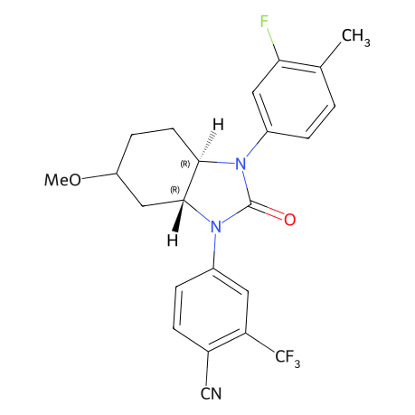 COC1CC[C@@H]2[C@@H](C1)N(c1ccc(C#N)c(C(F)(F)F)c1)C(=O)N2c1ccc(C)c(F)c1